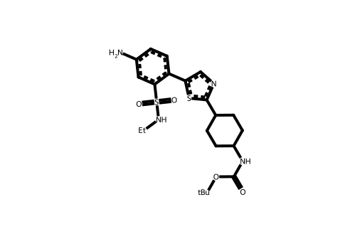 CCNS(=O)(=O)c1cc(N)ccc1-c1cnc(C2CCC(NC(=O)OC(C)(C)C)CC2)s1